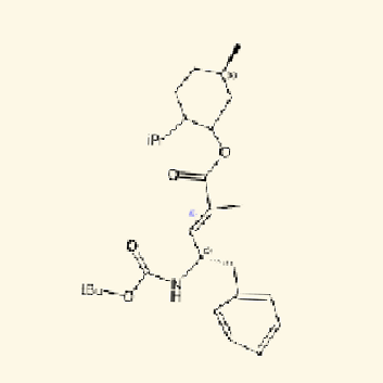 C/C(=C\[C@H](Cc1ccccc1)NC(=O)OC(C)(C)C)C(=O)OC1C[C@H](C)CCC1C(C)C